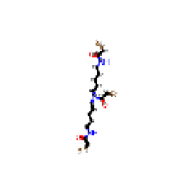 O=C(CBr)NCCCCCN(CCCCCNC(=O)CBr)C(=O)CBr